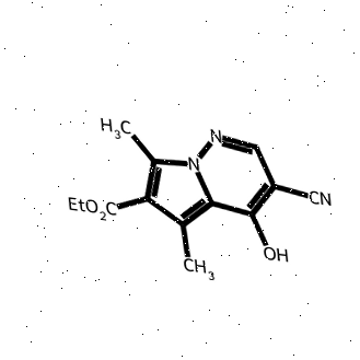 CCOC(=O)c1c(C)c2c(O)c(C#N)cnn2c1C